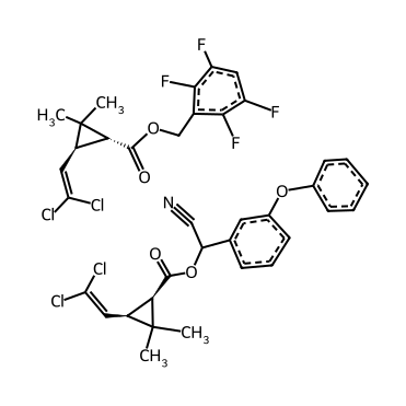 CC1(C)[C@H](C(=O)OC(C#N)c2cccc(Oc3ccccc3)c2)[C@@H]1C=C(Cl)Cl.CC1(C)[C@H](C=C(Cl)Cl)[C@H]1C(=O)OCc1c(F)c(F)cc(F)c1F